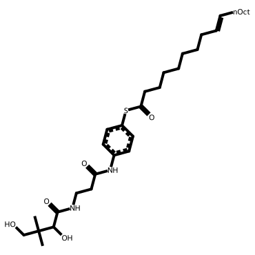 CCCCCCCCC=CCCCCCCCC(=O)Sc1ccc(NC(=O)CCNC(=O)C(O)C(C)(C)CO)cc1